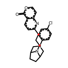 O=c1occc2nc(CCCN3C4CCC3CN(c3ccc(Cl)cc3)C4)ccc12